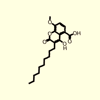 CCCCCCCCCCc1c(O)c2c(C(=O)O)ccc(OC)c2oc1=O